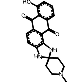 CN1CCC2(CC1)Nc1ccc3c(c1N2)C(=O)c1cccc(O)c1C3=O